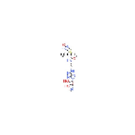 CC(CC(C)C1SCC2NC(=O)NC21)C(=O)NCCCCNc1ncnc2c1ncn2[C@@H]1O[C@H](CN2CC2)C(O)C1O